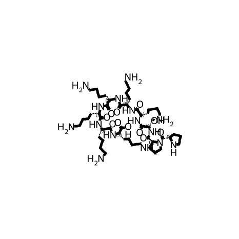 NCCCC[C@H](NC(=O)[C@H](CCCCN)NC(=O)[C@H](CCCCN)NC(=O)[C@H](CCCCN)NC(=O)[C@H](CCCCN)NC(=O)[C@H](CCCCN)NC(=O)[C@H](CO)NC(=O)[C@@H]1CCCN1C(=O)[C@@H]1CCCN1)C(=O)O